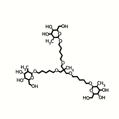 CC1[C@H](OCCCCCOCC(C)(COCCCCCO[C@@H]2OC(CO)[C@H](O)C(O)[C@@H]2C)COCCCCCO[C@@H]2OC(CO)[C@H](O)C(O)[C@@H]2C)OC(CO)[C@H](O)[C@@H]1O